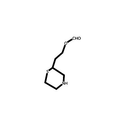 O=COCCC1CNCCS1